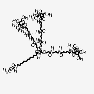 COCC(=O)NCCCCCCCCCCCCC(=O)NC(COCCC(=O)NCCCNC(=O)CCCCO[C@@H]1OC(CO)[C@H](O)[C@H](O)C1NC(C)=O)(COCCC(=O)NCCCNC(=O)CCCCO[C@@H]1OC2C(CO)[C@H](O)[C@H](O)C21NC(C)=O)COCCC(=O)NCCCNC(=O)CCCCO[C@@H]1OC2C(CO)[C@H](O)[C@H](O)C21NC(C)=O